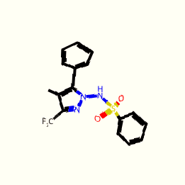 Cc1c(C(F)(F)F)nn(NS(=O)(=O)c2ccccc2)c1-c1ccccc1